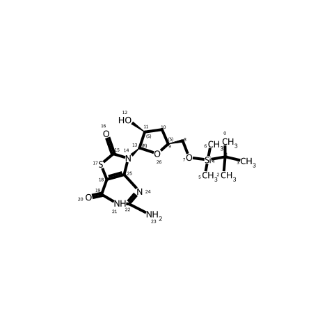 CC(C)(C)[Si](C)(C)OC[C@@H]1C[C@H](O)[C@H](n2c(=O)sc3c(=O)[nH]c(N)nc32)O1